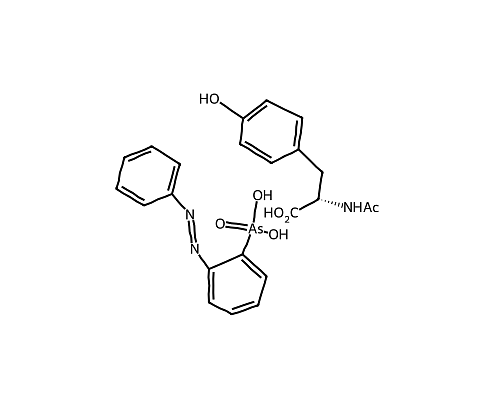 CC(=O)N[C@@H](Cc1ccc(O)cc1)C(=O)O.O=[As](O)(O)c1ccccc1N=Nc1ccccc1